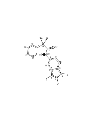 Cc1c(C)n(C)c2ncc(NC(=O)C3(c4ccccc4)CC3)cc12